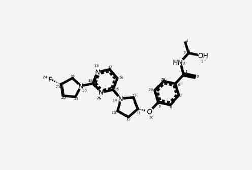 C=C(NC(C)O)c1ccc(O[C@@H]2CCN(c3ccnc(N4CC[C@H](F)C4)n3)C2)cc1